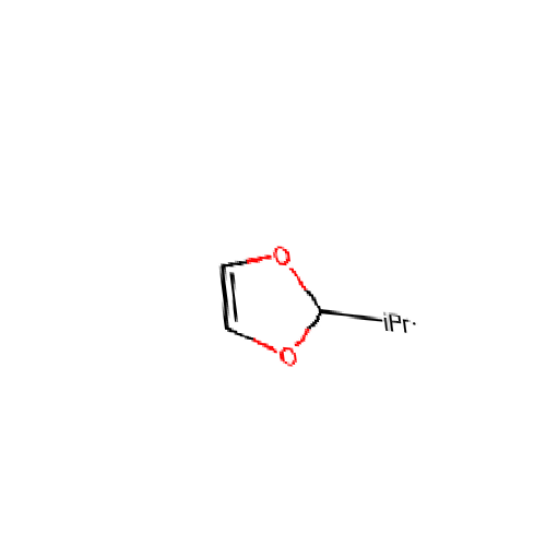 C[C](C)C1OC=CO1